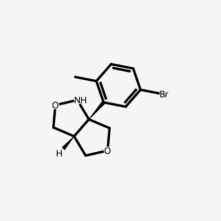 Cc1ccc(Br)cc1[C@@]12COC[C@@H]1CON2